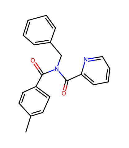 Cc1ccc(C(=O)N(Cc2ccccc2)C(=O)c2ccccn2)cc1